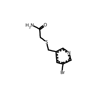 NC(=O)CSCc1cncc(Br)c1